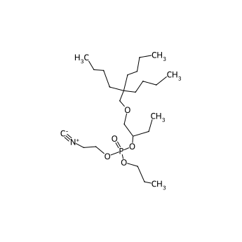 [C-]#[N+]CCOP(=O)(OCCC)OC(CC)COCC(CCCC)(CCCC)CCCC